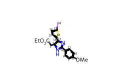 CCOC(=O)Cc1[nH]c(-c2ccc(OC)cc2)nc1-c1ccc(I)s1